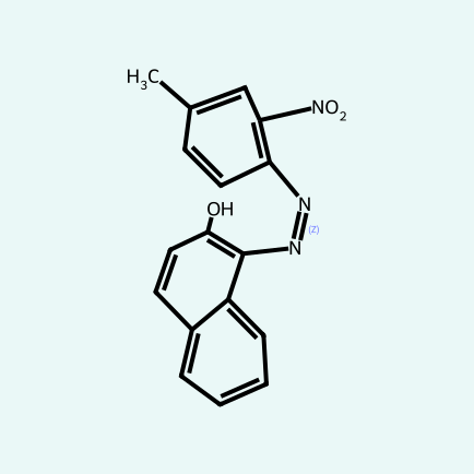 Cc1ccc(/N=N\c2c(O)ccc3ccccc23)c([N+](=O)[O-])c1